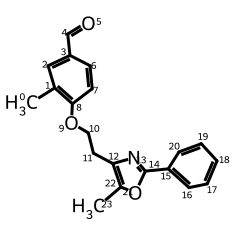 Cc1cc(C=O)ccc1OCCc1nc(-c2ccccc2)oc1C